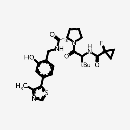 Cc1ncsc1-c1ccc(CNC(=O)[C@@H]2CCCN2C(=O)C(NC(=O)C2(F)CC2)C(C)(C)C)c(O)c1